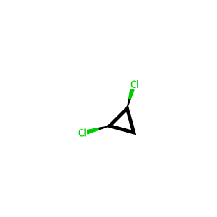 Cl[C@@H]1C[C@@H]1Cl